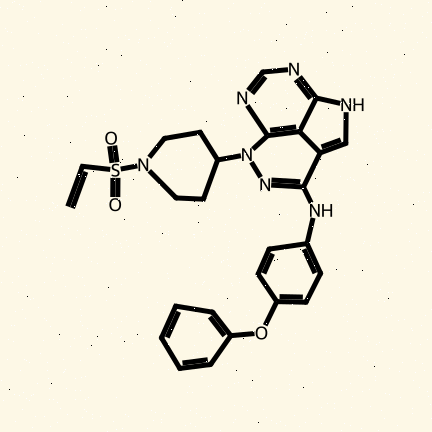 C=CS(=O)(=O)N1CCC(N2N=C(Nc3ccc(Oc4ccccc4)cc3)c3c[nH]c4ncnc2c34)CC1